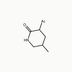 CC(=O)C1CC(C)CNC1=O